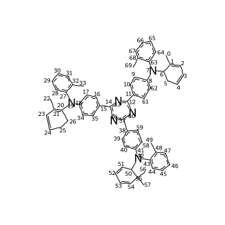 CC1=CC=CCC1N(c1ccc(-c2nc(-c3ccc(N(C4=C(C)C=CCC4)c4ccccc4C)cc3)nc(-c3ccc(N(c4ccccc4C)C4C=CC=CC4(C)C)cc3)n2)cc1)c1ccccc1C